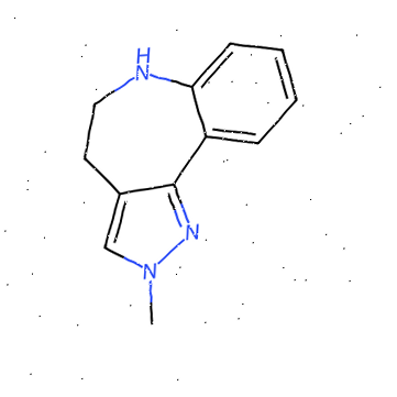 Cn1cc2c(n1)-c1ccccc1NCC2